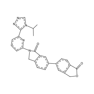 CC(C)n1cnnc1-c1cccc(N2Cc3ccc(-c4ccc5c(c4)COC5=O)cc3C2=O)n1